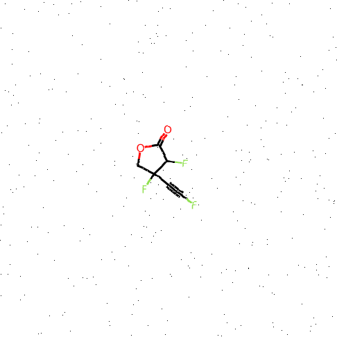 O=C1OCC(F)(C#CF)C1F